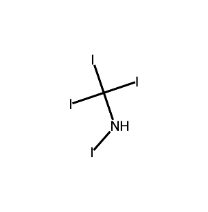 INC(I)(I)I